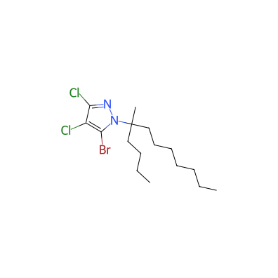 CCCCCCCC(C)(CCCC)n1nc(Cl)c(Cl)c1Br